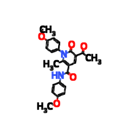 COc1ccc(NC(=O)c2cc(C(C)=O)c(=O)n(-c3ccc(OC)cc3)c2C)cc1